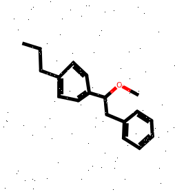 CCCc1ccc(C(Cc2ccccc2)OC)cc1